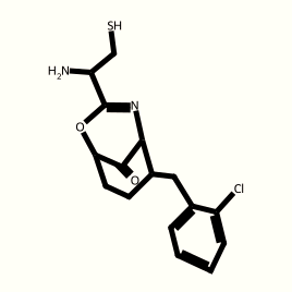 NC(CS)C1=NC2C(=O)C(CCC2Cc2ccccc2Cl)O1